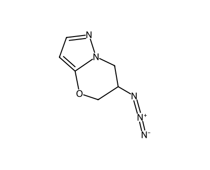 [N-]=[N+]=NC1COc2ccnn2C1